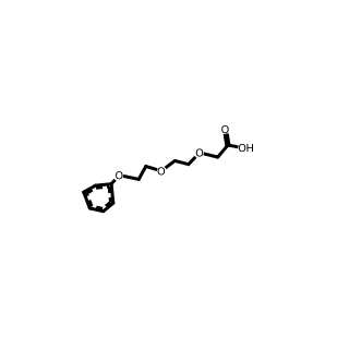 O=C(O)COCCOCCOc1ccccc1